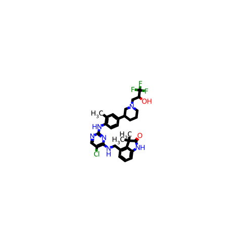 Cc1cc(C2CCCN(CC(O)C(F)(F)F)C2)ccc1Nc1ncc(Cl)c(NCc2cccc3c2C(C)(C)C(=O)N3)n1